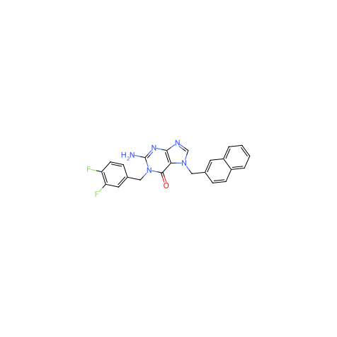 Nc1nc2ncn(Cc3ccc4ccccc4c3)c2c(=O)n1Cc1ccc(F)c(F)c1